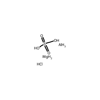 Cl.O=S(=O)(O)O.[AlH3].[MgH2]